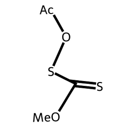 COC(=S)SOC(C)=O